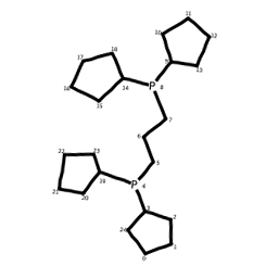 C1CCC(P(CCCP(C2CCCC2)C2CCCC2)C2CCCC2)C1